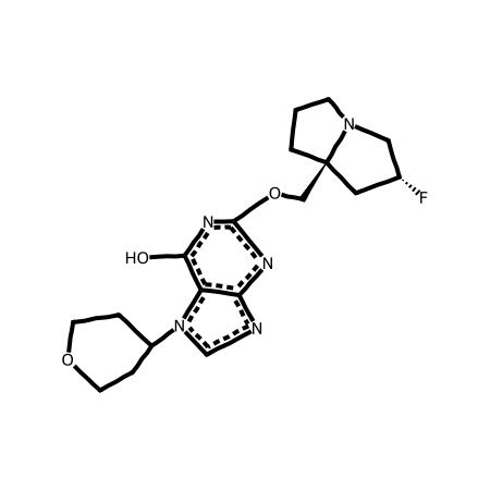 Oc1nc(OC[C@@]23CCCN2C[C@H](F)C3)nc2ncn(C3CCOCC3)c12